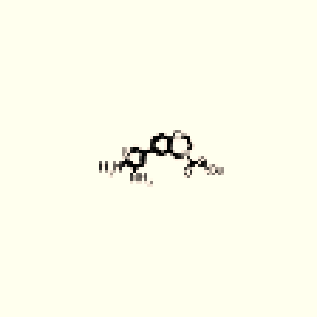 CC(C)(C)OC(=O)N1CCOc2ccc(-c3cnc(N)c(N)c3)cc2C1